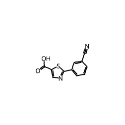 N#Cc1cccc(-c2ncc(C(=O)O)s2)c1